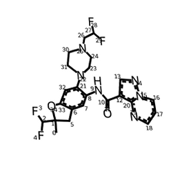 CC1(C(F)F)Cc2cc(NC(=O)c3cnn4cccnc34)c(N3CCN(CC(F)F)CC3)cc2O1